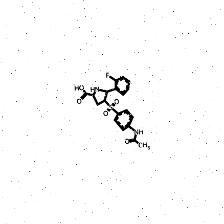 CC(=O)Nc1ccc(S(=O)(=O)C2CC(C(=O)O)NC2c2ccccc2F)cc1